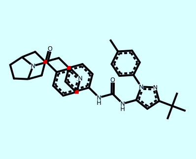 Cc1ccc(-n2nc(C(C)(C)C)cc2NC(=O)Nc2ccc(CC3CC4CCC(C3)N4C(=O)c3cccnc3)cc2)cc1